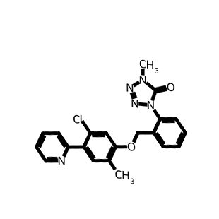 Cc1cc(-c2ccccn2)c(Cl)cc1OCc1ccccc1-n1nnn(C)c1=O